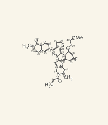 C=CC(=O)N1Cc2cc(-c3nc(-c4ccc5c(=O)n(C)ncc5c4)c4ccsc4c3-c3c(F)cc(F)cc3OCCOC)nn2C[C@H]1C